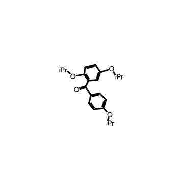 CC(C)Oc1ccc(C(=O)c2cc(OC(C)C)ccc2OC(C)C)cc1